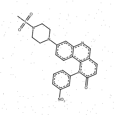 CS(=O)(=O)N1CCN(c2ccc3c(c2)ncc2ccc(=O)n(-c4cccc([N+](=O)[O-])c4)c23)CC1